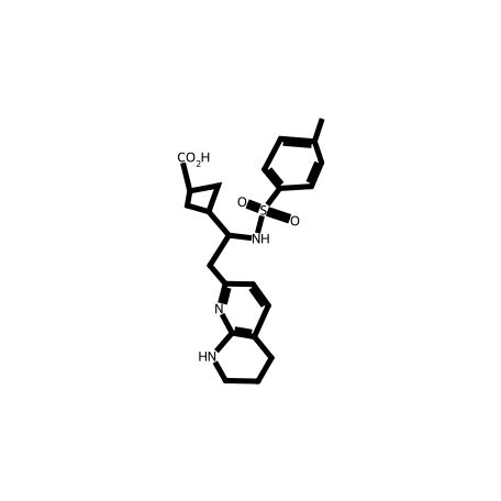 Cc1ccc(S(=O)(=O)NC(Cc2ccc3c(n2)NCCC3)C2CC(C(=O)O)C2)cc1